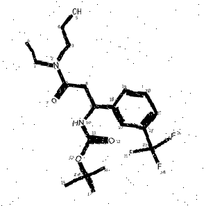 CCN(CCO)C(=O)CC(NC(=O)OC(C)(C)C)c1cccc(C(F)(F)F)c1